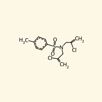 C=C(Cl)CN(CC(=C)Cl)S(=O)(=O)c1ccc(C)cc1